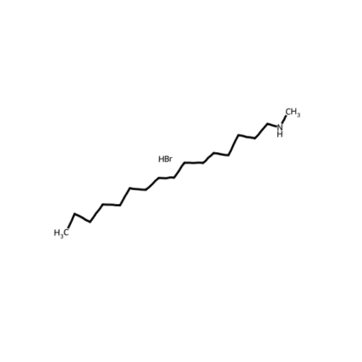 Br.CCCCCCCCCCCCCCCCNC